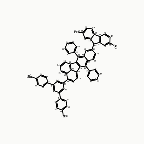 CC(C)(C)c1ccc(-c2cc(-c3ccc(C(C)(C)C)cc3)cc(-c3ccc4c5c(cccc35)-c3c-4c(-c4ccccc4)c4ccc(C5c6cc(Br)ccc6-c6ccc(Br)cc65)cc4c3-c3ccccc3)c2)cc1